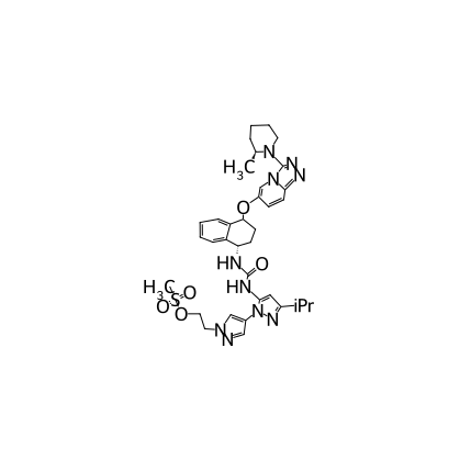 CC(C)c1cc(NC(=O)N[C@H]2CCC(Oc3ccc4nnc(N5CCCC[C@@H]5C)n4c3)c3ccccc32)n(-c2cnn(CCOS(C)(=O)=O)c2)n1